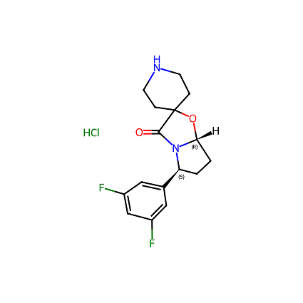 Cl.O=C1N2[C@@H](CC[C@H]2c2cc(F)cc(F)c2)OC12CCNCC2